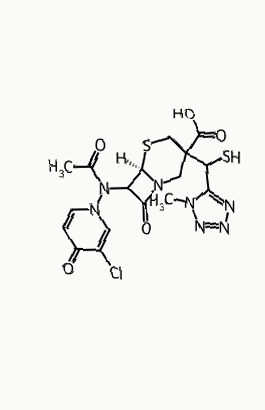 CC(=O)N(C1C(=O)N2CC(C(=O)O)(C(S)c3nnnn3C)CS[C@H]12)n1ccc(=O)c(Cl)c1